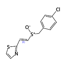 [O-][S+](/C=C/c1nccs1)Cc1ccc(Cl)cc1